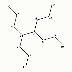 CCC[C](CCC)C(CCC)CCC